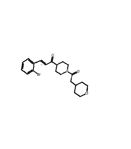 O=C(/C=C/c1ccccc1Br)C1CCN(C(=O)CC2CCOCC2)CC1